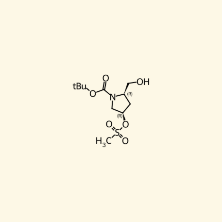 CC(C)(C)OC(=O)N1C[C@H](OS(C)(=O)=O)C[C@@H]1CO